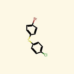 Clc1ccc(Sc2ccc(Br)cc2)cc1